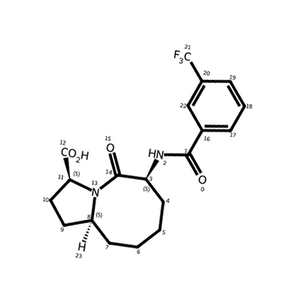 O=C(N[C@H]1CCCC[C@H]2CC[C@@H](C(=O)O)N2C1=O)c1cccc(C(F)(F)F)c1